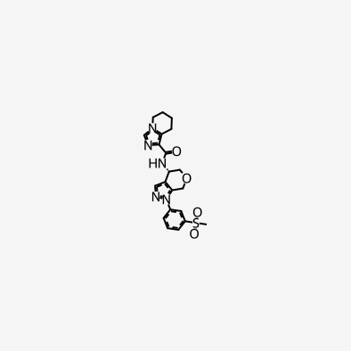 CS(=O)(=O)c1cccc(-n2ncc3c2COC[C@H]3NC(=O)c2ncn3c2CCCC3)c1